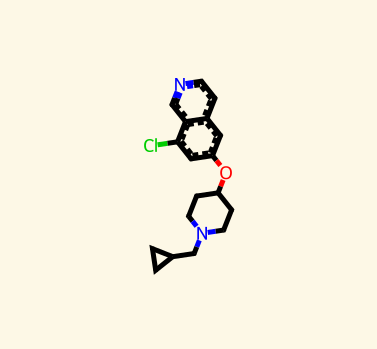 Clc1cc(OC2CCN(CC3CC3)CC2)cc2ccncc12